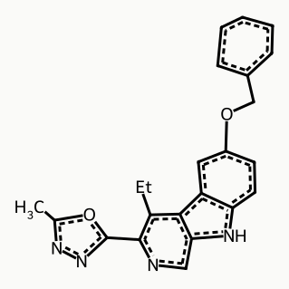 CCc1c(-c2nnc(C)o2)ncc2[nH]c3ccc(OCc4ccccc4)cc3c12